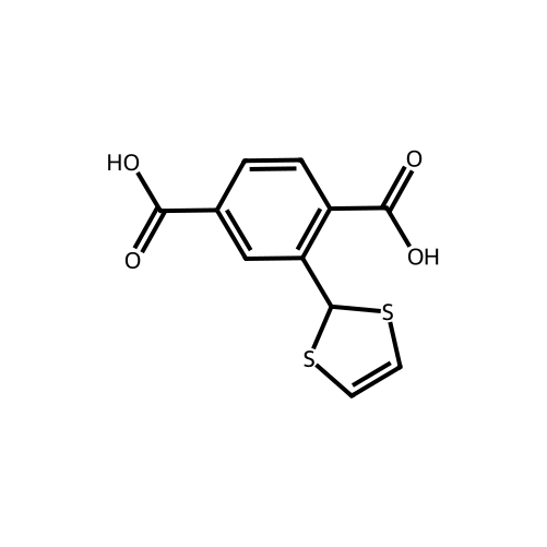 O=C(O)c1ccc(C(=O)O)c(C2SC=CS2)c1